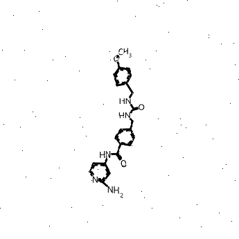 COc1ccc(CNC(=O)NCc2ccc(C(=O)Nc3ccnc(N)c3)cc2)cc1